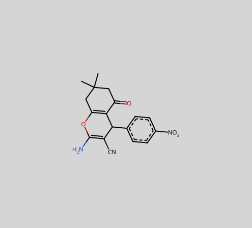 CC1(C)CC(=O)C2=C(C1)OC(N)=C(C#N)C2c1ccc([N+](=O)[O-])cc1